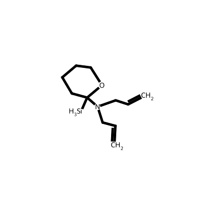 C=CCN(CC=C)C1([SiH3])CCCCO1